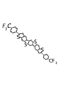 FC(F)(F)c1ccc(-c2cc3cc4c(cc3s2)sc2cc3c(cc24)sc2cc4sc(-c5ccc(C(F)(F)F)cc5)cc4cc23)cc1